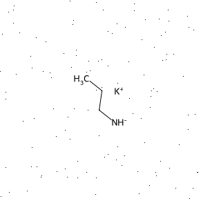 CCC[NH-].[K+]